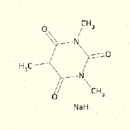 CC1C(=O)N(C)C(=O)N(C)C1=O.[NaH]